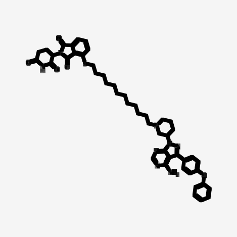 Nc1ncnc2c1c(-c1ccc(Oc3ccccc3)cc1)nn2C1CCCN(CCCCCCCCCCCCSc2cccc3c2C(=O)N(C2CCC(=O)NC2=O)C3=O)C1